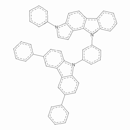 c1ccc(-c2ccc3c(c2)c2cc(-c4ccccc4)ccc2n3-c2cccc(-n3c4ccccc4c4ccc5c(ccn5-c5ccccc5)c43)c2)cc1